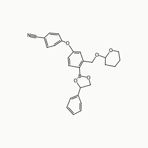 N#Cc1ccc(Oc2ccc(B3OCC(c4ccccc4)O3)c(COC3CCCCO3)c2)cc1